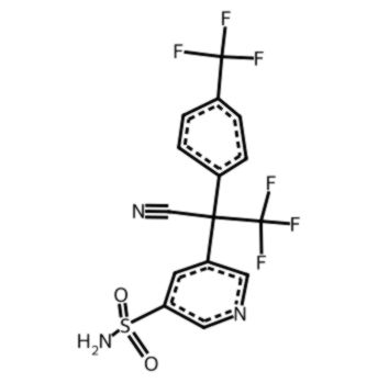 N#CC(c1ccc(C(F)(F)F)cc1)(c1cncc(S(N)(=O)=O)c1)C(F)(F)F